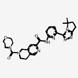 CC1(C)CCc2nnc(-c3cccc(NC(=O)c4cc5c(cn4)CCN(C(=O)N4CCOCC4)C5)n3)n21